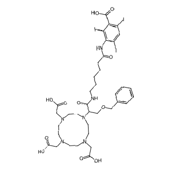 O=C(O)CN1CCN(CC(=O)O)CCN(C(COCc2ccccc2)C(=O)NCCCCCC(=O)Nc2c(I)cc(I)c(C(=O)O)c2I)CCN(CC(=O)O)CC1